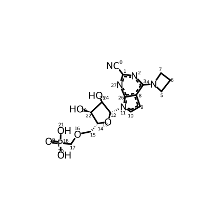 N#Cc1nc(N2CCC2)c2ccn([C@@H]3O[C@H](COCP(=O)(O)O)[C@@H](O)[C@H]3O)c2n1